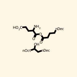 CCCCCCCCCCCC(O)CCCCCCCC.CCCCCCCCCCCCCC(=O)OC(=O)C(N)CCC(=O)O